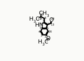 COc1ccc2[nH]c(CC(C)C)c(C=O)c2c1